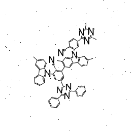 Cc1ccc2c(c1)c1ccccc1n2-c1cc(-c2nc(-c3ccccc3)nc(-c3ccccc3)n2)cc(-c2cc3c4ccc(C)cc4n(-c4cc(-c5nc(C)nc(C)n5)ccc4C#N)c3cc2C)c1C#N